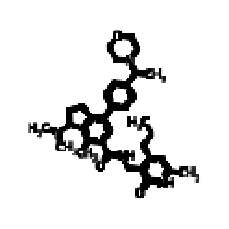 CCCc1cc(C)[nH]c(=O)c1CNC(=O)c1cc(-c2ccc(C(C)N3CCOCC3)cc2)c2c(c1C)C(N(C)C)CC2